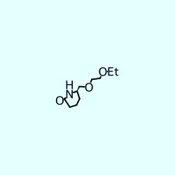 CCOCCOC[C@H]1CCCC(=O)N1